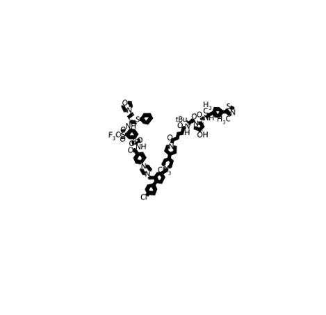 Cc1ncsc1-c1ccc([C@H](C)NC(=O)[C@@H]2C[C@@H](O)CN2C(=O)[C@@H](NC(=O)CCCC(=O)N2CCC(C3CCN(CC4(C)CCC(c5ccc(Cl)cc5)=C(CN5CCN(c6ccc(C(=O)NS(=O)(=O)c7ccc(N[C@H](CCN8CCOCC8)CSc8ccccc8)c(S(=O)(=O)C(F)(F)F)c7)cc6)CC5)C4)CC3)CC2)C(C)(C)C)cc1